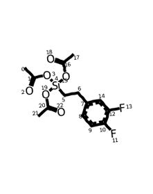 CC(=O)O[Si](CCc1ccc(F)c(F)c1)(OC(C)=O)OC(C)=O